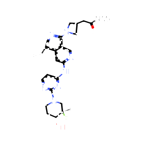 CNC(=O)CC1CN(c2ncc(C(C)C)c3cc(Nc4ccnc(N5CC[C@@H](O)[C@@](C)(F)C5)n4)ncc23)C1